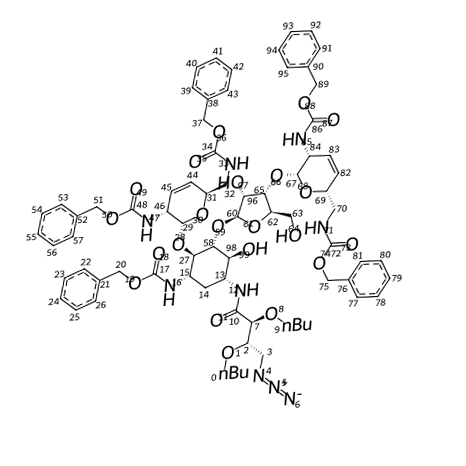 CCCCO[C@@H](CN=[N+]=[N-])[C@H](OCCCC)C(=O)N[C@@H]1C[C@H](NC(=O)OCc2ccccc2)[C@@H](O[C@H]2O[C@H](CNC(=O)OCc3ccccc3)C=C[C@H]2NC(=O)OCc2ccccc2)[C@H](O[C@@H]2O[C@H](CO)[C@@H](O[C@H]3O[C@@H](CNC(=O)OCc4ccccc4)C=C[C@H]3NC(=O)OCc3ccccc3)[C@H]2O)[C@H]1O